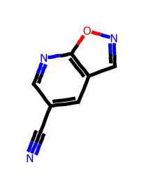 N#Cc1cnc2oncc2c1